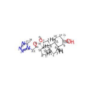 CO[C@@H]1C[C@H]2[C@@H](CC[C@@H]3C[C@](C)(O)CC[C@@H]32)[C@@H]2CC[C@H](C(=O)Cn3nnnc3C)[C@@]12C